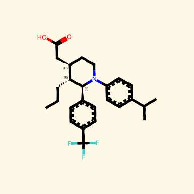 CCC[C@@H]1[C@@H](CC(=O)O)CCN(c2ccc(C(C)C)cc2)[C@H]1c1ccc(C(F)(F)F)cc1